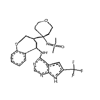 CS(C)(=O)=NC1(C2COc3ccccc3C2Nc2ncnc3[nH]c(C(F)(F)F)cc23)CCOCC1